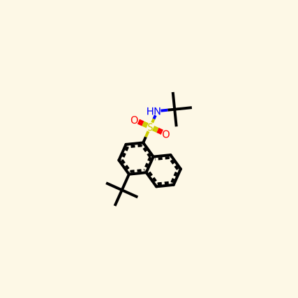 CC(C)(C)NS(=O)(=O)c1ccc(C(C)(C)C)c2ccccc12